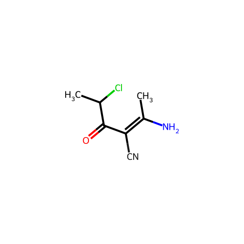 CC(N)=C(C#N)C(=O)C(C)Cl